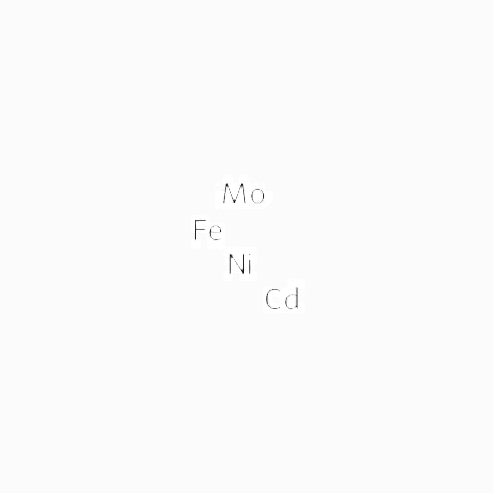 [Cd].[Fe].[Mo].[Ni]